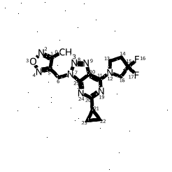 Cc1nonc1Cn1nnc2c(N3CCC(F)(F)C3)nc(C3CC3)nc21